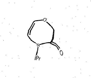 CC(C)N1C=COCC1=O